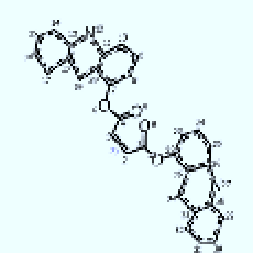 O=C(/C=C\C(=O)Oc1cccc2nc3ccccc3cc12)Oc1cccc2nc3ccccc3cc12